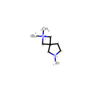 CC(C)N1CCC2(C1)C[N+](C)(C(C)(C)C)C2